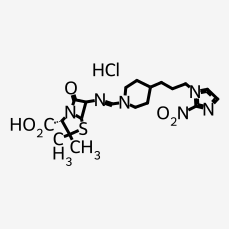 CC1(C)SC2C(N=CN3CCC(CCCn4ccnc4[N+](=O)[O-])CC3)C(=O)N2[C@H]1C(=O)O.Cl